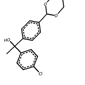 CC(O)(c1ccc(Cl)cc1)c1ccc(C2OCCCO2)cc1